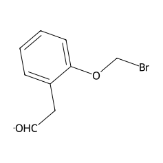 O=[C]Cc1ccccc1OCBr